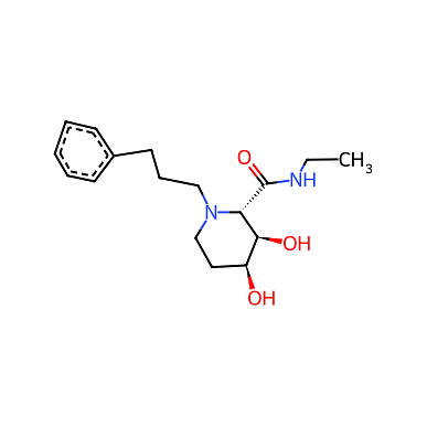 CCNC(=O)[C@@H]1[C@@H](O)[C@@H](O)CCN1CCCc1ccccc1